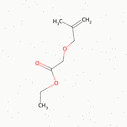 C=C(C)COCC(=O)OCC